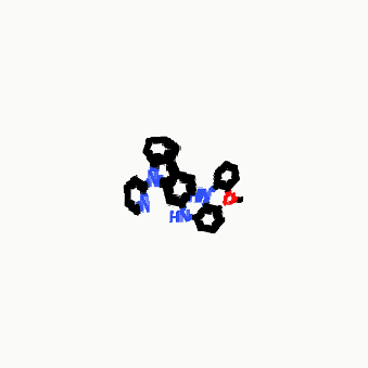 COc1ccccc1Nc1ccccc1Nc1ccc2c3ccccc3n(-c3ccccn3)c2c1